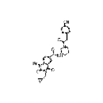 CC(C)n1c(=O)n(CC2CC2)c(=O)c2cc(C(=O)NC3CCCN(C(=O)Cc4ccc(C#N)cc4)C3)ccc21